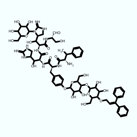 CC(c1ccccc1)[C@H](N)C(=O)N[C@@H](Cc1ccc(OC2OC(CO)C(OC3OC(CO)C(OCC=C(c4ccccc4)c4ccccc4)C(O)C3O)C(O)C2O)cc1)C(=O)N[C@H](C(=O)N[C@H](C(=O)N[C@H]([C]=O)CO)C(O)C1CNC(=N)N1C1OC(CO)C(O)C(O)C1O)C(O)C1CNC(=N)N1